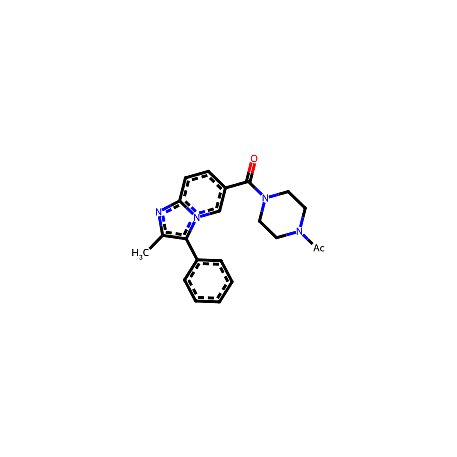 CC(=O)N1CCN(C(=O)c2ccc3nc(C)c(-c4ccccc4)n3c2)CC1